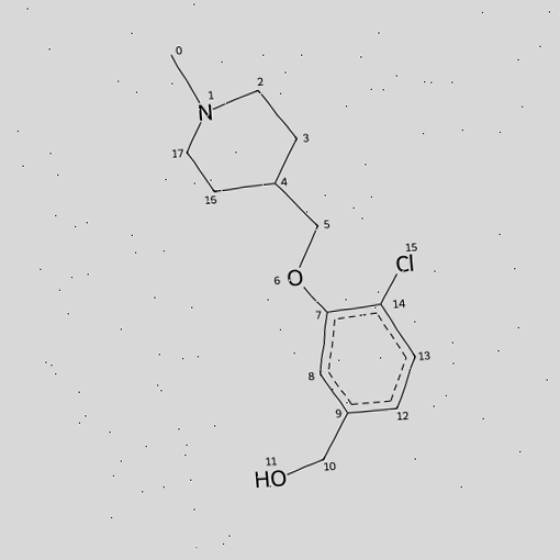 CN1CCC(COc2cc(CO)ccc2Cl)CC1